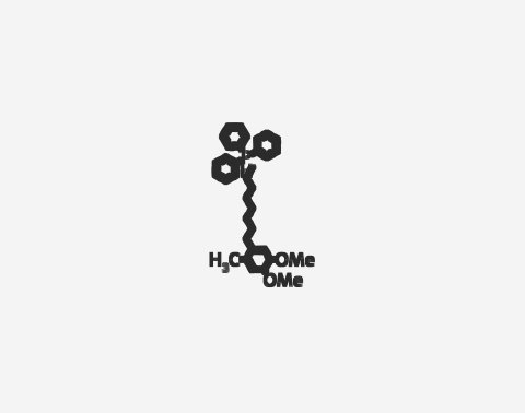 COC1C=C(C)C(CCCCCCCC[PH](c2ccccc2)(c2ccccc2)c2ccccc2)=CC1OC